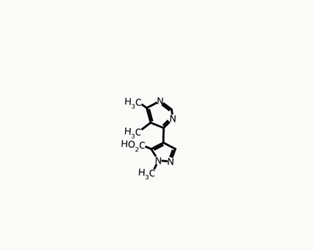 Cc1ncnc(-c2cnn(C)c2C(=O)O)c1C